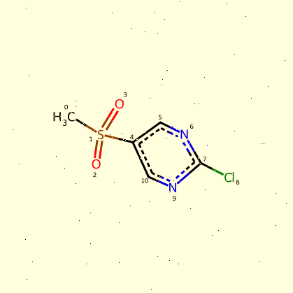 CS(=O)(=O)c1cnc(Cl)nc1